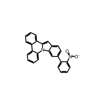 O=[N+]([O-])c1ccccc1-c1ccc2cc3c4ccccc4c4ccccc4n3c2c1